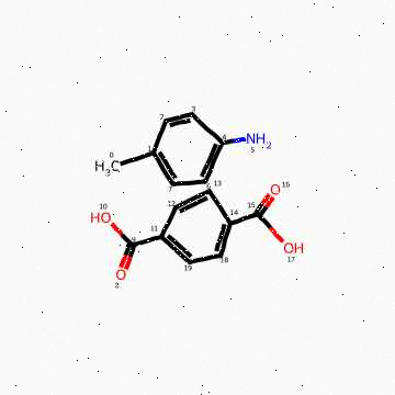 Cc1ccc(N)cc1.O=C(O)c1ccc(C(=O)O)cc1